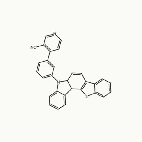 N#Cc1cnccc1-c1cccc(N2c3ccccc3C3c4sc5ccccc5c4C=CC32)c1